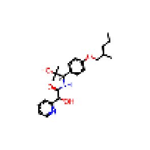 CCCC(C)COc1ccc([C@@H](NC(=O)C(O)c2ccccn2)C(C)(C)O)cc1